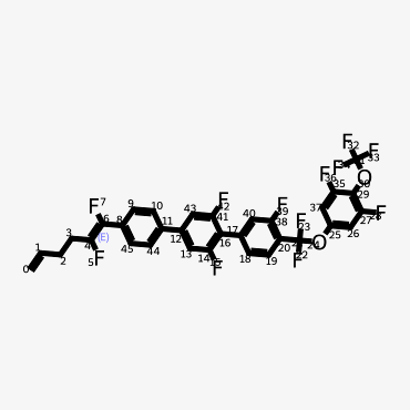 C=CCC/C(F)=C(\F)c1ccc(-c2cc(F)c(-c3ccc(C(F)(F)Oc4cc(F)c(OC(F)(F)F)c(F)c4)c(F)c3)c(F)c2)cc1